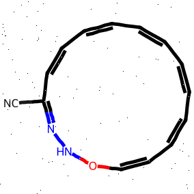 N#Cc1cccccccccccco[nH]n1